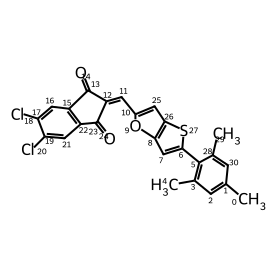 Cc1cc(C)c(-c2cc3oc(C=C4C(=O)c5cc(Cl)c(Cl)cc5C4=O)cc3s2)c(C)c1